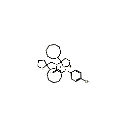 Cc1ccc(OCC(=O)N(CC2(C3CCCCCCC3)CCCS2)C2(C3CCCCCCC3)CCNN2)cc1